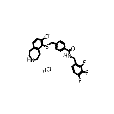 Cl.O=C(NCc1ccc(F)c(F)c1F)c1ccc(CSc2c(Cl)ccc3c2CCNCC3)cc1